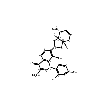 CN[C@@H]1C=CC[C@@H]2CN(c3ncc4c(=O)c(C(=O)O)cn(-c5ccc(F)cc5F)c4c3F)C[C@@H]21